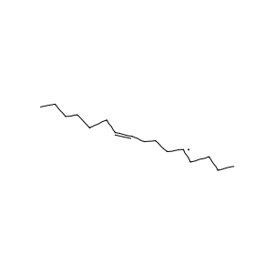 CCCC[CH]CCCC=CCCCCCC